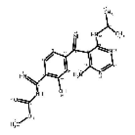 COC(=O)NC(=N)c1ccc(C(=N)c2c(N)ncnc2NC(C)C)cc1O